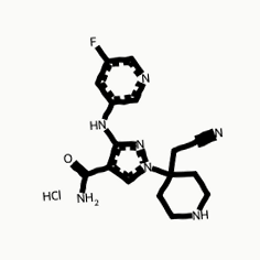 Cl.N#CCC1(n2cc(C(N)=O)c(Nc3cncc(F)c3)n2)CCNCC1